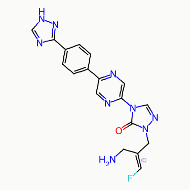 NC/C(=C\F)Cn1ncn(-c2cnc(-c3ccc(-c4nc[nH]n4)cc3)cn2)c1=O